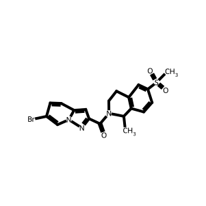 CC1c2ccc(S(C)(=O)=O)cc2CCN1C(=O)c1cc2ccc(Br)cn2n1